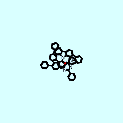 c1ccc(-c2ccc(-c3nc(-c4ccccc4)nc(-n4c5ccccc5c5ccc6c7ccccc7n(-c7c(-c8ccccc8)cccc7-c7cccc(-c8ccccc8)c7)c6c54)n3)cc2)cc1